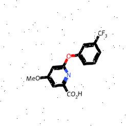 COc1cc(Oc2cccc(C(F)(F)F)c2)nc(C(=O)O)c1